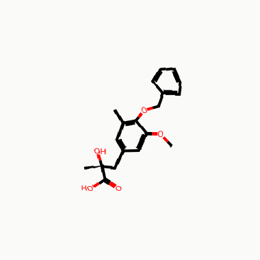 COc1cc(C[C@@](C)(O)C(=O)O)cc(C)c1OCc1ccccc1